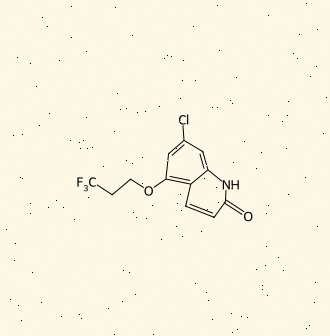 O=c1ccc2c(OCCC(F)(F)F)cc(Cl)cc2[nH]1